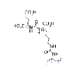 C/C=C\C(=C/C)NC(=O)NCCCC[C@H](NC(=O)N[C@@H](CCC(=O)O)C(=O)O)C(=O)O